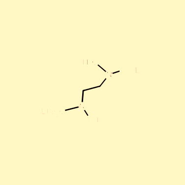 CCOC(=O)N(C)CCN(C)C(=O)OCC